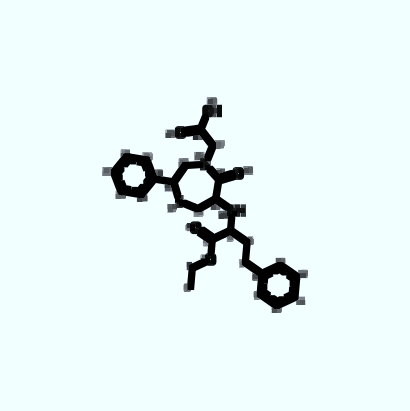 CCOC(=O)C(CCc1ccccc1)NC1CSC(c2ccccc2)CN(CC(=O)O)C1=O